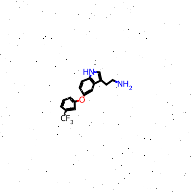 NCCc1c[nH]c2ccc(Oc3cccc(C(F)(F)F)c3)cc12